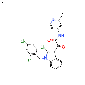 Cc1cc(NC(=O)C(=O)c2c(Cl)n(Cc3ccc(Cl)cc3Cl)c3ccccc23)ccn1